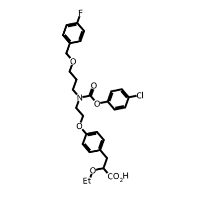 CCOC(Cc1ccc(OCCN(CCCOCc2ccc(F)cc2)C(=O)Oc2ccc(Cl)cc2)cc1)C(=O)O